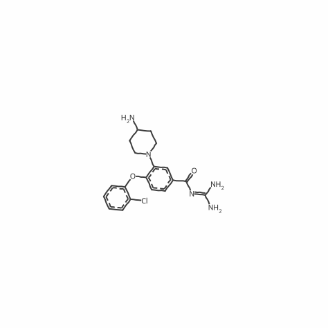 NC(N)=NC(=O)c1ccc(Oc2ccccc2Cl)c(N2CCC(N)CC2)c1